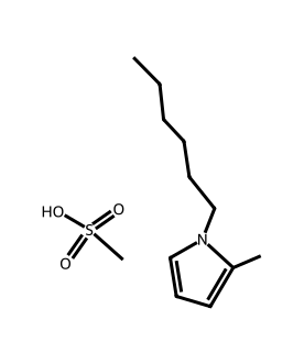 CCCCCCn1cccc1C.CS(=O)(=O)O